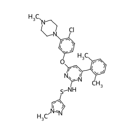 Cc1cccc(C)c1-c1cc(Oc2ccc(Cl)c(N3CCN(C)CC3)c2)nc(NSc2cnn(C)c2)n1